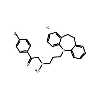 CN(CCCN1c2ccccc2CCc2ccccc21)CC(=O)c1ccc(Cl)cc1.Cl